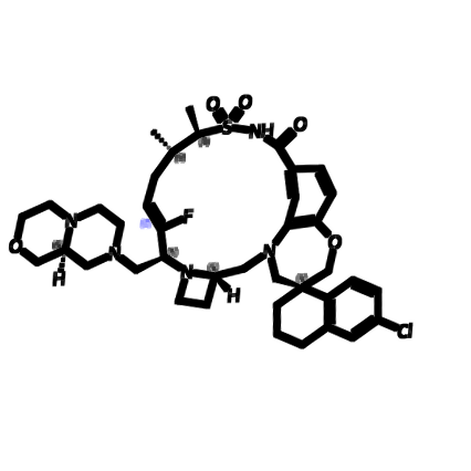 C[C@@H]1[C@@H](C)C/C=C(\F)[C@H](CN2CCN3CCOC[C@@H]3C2)N2CC[C@H]2CN2C[C@@]3(CCCc4cc(Cl)ccc43)COc3ccc(cc32)C(=O)NS1(=O)=O